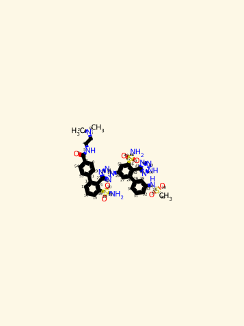 CN(C)CCNC(=O)c1ccc(-c2cccc(S(N)(=O)=O)c2-c2nnn(-c3cc(-c4cccc(NS(C)(=O)=O)c4)c(-c4nn[nH]n4)c(S(N)(=O)=O)c3)n2)cc1